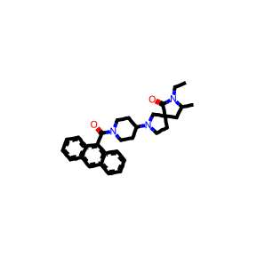 CCN1C(=O)C2(CCN(C3CCN(C(=O)c4c5ccccc5cc5ccccc45)CC3)C2)CC1C